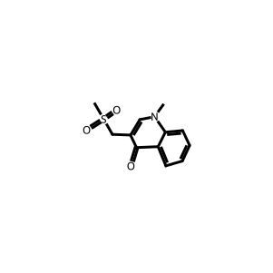 Cn1cc(CS(C)(=O)=O)c(=O)c2ccccc21